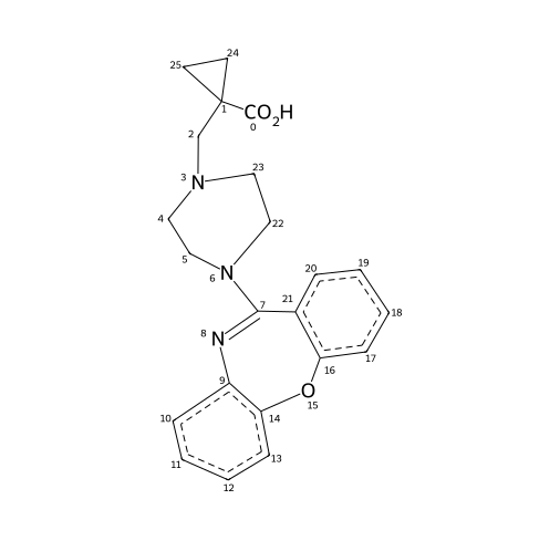 O=C(O)C1(CN2CCN(C3=Nc4ccccc4Oc4ccccc43)CC2)CC1